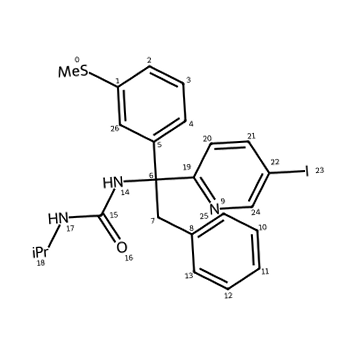 CSc1cccc(C(Cc2ccccc2)(NC(=O)NC(C)C)c2ccc(I)cn2)c1